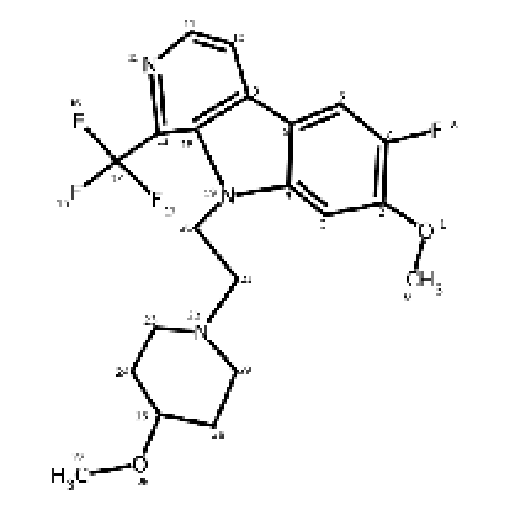 COc1cc2c(cc1F)c1ccnc(C(F)(F)F)c1n2CCN1CCC(OC)CC1